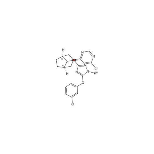 CC(C)n1nc(NC2[C@@H]3CC[C@H]2CN(c2cc(Cl)ncn2)C3)nc1Oc1cccc(Cl)c1